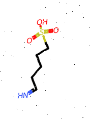 N=CCCCCS(=O)(=O)O